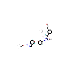 COC(=O)CCc1cccc(C(O[Si](C)(C)C)(c2cnc(-c3cc(Oc4c(F)cc5c(ccn5COCC[Si](C)(C)C)c4F)ccc3F)n2COCC[Si](C)(C)C)C(F)(F)F)c1